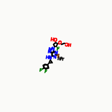 CCCSc1nc(N[C@@H]2C[C@H]2c2ccc(F)c(F)c2)c2nnn([C@H]3C[C@H](O)[C@@H](OCCO)[C@@H]3F)c2n1